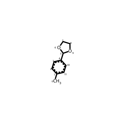 Cc1ccc(C2OCCO2)cc1